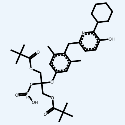 Cc1cc(OC(COC(=O)C(C)(C)C)(COC(=O)C(C)(C)C)O[PH](=O)O)cc(C)c1Cc1ccc(O)c(C2CCCCC2)n1